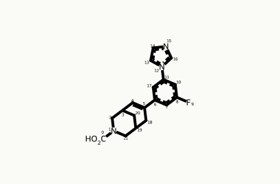 O=C(O)N1CC2C=C(c3cc(F)cc(-n4ccnc4)c3)CC(C2)C1